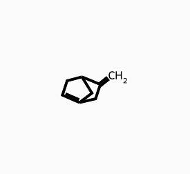 C=C1CC2=CCC1C2